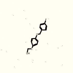 OCSc1ccc(OCc2ccc(F)cc2)cc1